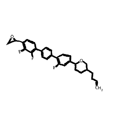 C=CCCC1CCC(c2ccc(-c3ccc(-c4ccc(C5CO5)c(F)c4F)cc3)c(F)c2)OC1